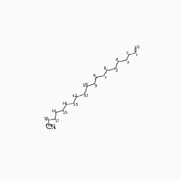 C=CCCCCCCCCCCCCCCCC[CH]C#N